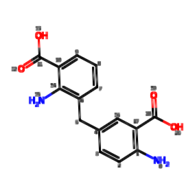 Nc1ccc(Cc2cccc(C(=O)O)c2N)cc1C(=O)O